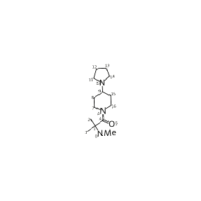 CNC(C)(C)C(=O)N1CCC(N2CCCC2)CC1